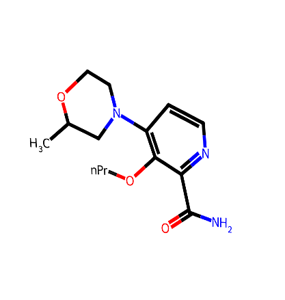 CCCOc1c(N2CCOC(C)C2)ccnc1C(N)=O